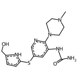 CN1CCN(c2ncc(Sc3ccc(CO)[nH]3)cc2NC(N)=O)CC1